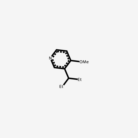 CCC(CC)c1cnccc1OC